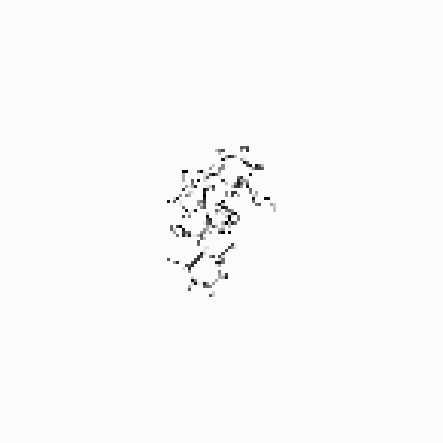 Cc1cccc(C)c1C(=O)[P](=O)C1(C(=O)c2c(C(F)(F)F)cccc2C(F)(F)F)CCCC1